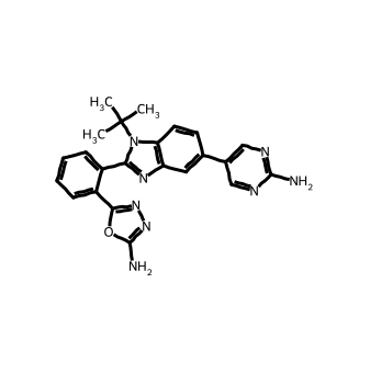 CC(C)(C)n1c(-c2ccccc2-c2nnc(N)o2)nc2cc(-c3cnc(N)nc3)ccc21